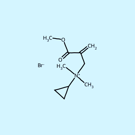 C=C(C[N+](C)(C)C1CC1)C(=O)OC.[Br-]